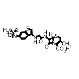 CC1=C(C(=O)O)N2C(=O)C(NC(=O)CNc3csc4cc(NS(C)(=O)=O)ccc34)[C@@H]2SC1